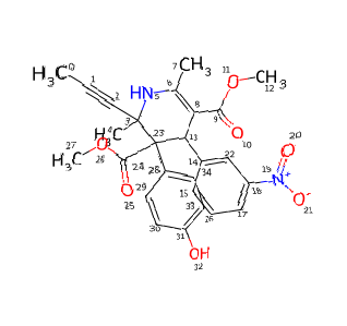 CC#CC1(C)NC(C)=C(C(=O)OC)C(c2cccc([N+](=O)[O-])c2)C1(C(=O)OC)c1ccc(O)cc1